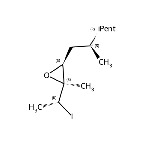 CCC[C@@H](C)[C@@H](C)C[C@@H]1O[C@]1(C)[C@@H](C)I